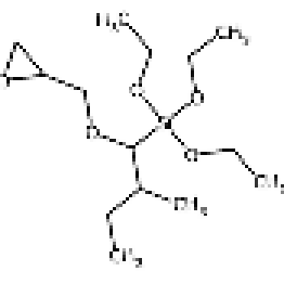 CCO[Si](OCC)(OCC)C(OCC1CO1)C(C)CC